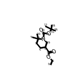 CCOC(=O)C1CCC(C)(C)N(C(=O)OC(C)(C)C)C1